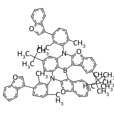 Cc1ccc(-c2coc3ccccc23)c(C)c1N1c2cc(C(C)(C)C)cc3c2B(c2c1oc1ccc(C(C)(C)C)cc21)c1c(oc2ccc(C(C)(C)C)cc12)N3c1c(C)ccc(-c2coc3ccccc23)c1C